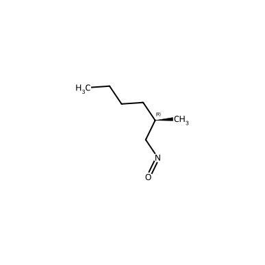 CCCC[C@@H](C)CN=O